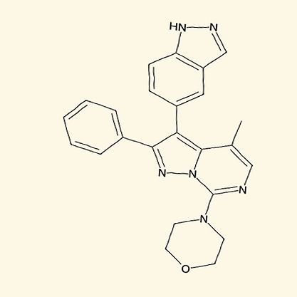 Cc1cnc(N2CCOCC2)n2nc(-c3ccccc3)c(-c3ccc4[nH]ncc4c3)c12